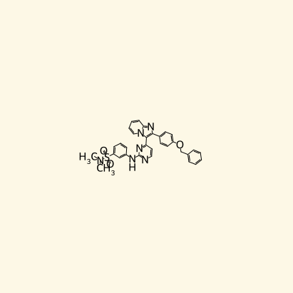 CN(C)S(=O)(=O)c1cccc(Nc2nccc(-c3c(-c4ccc(OCc5ccccc5)cc4)nc4ccccn34)n2)c1